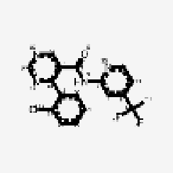 O=C(Nc1cc(C(F)(F)F)ccn1)c1cncnc1-c1ccccc1Cl